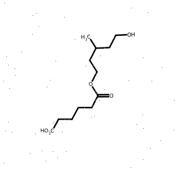 CC(CCO)CCOC(=O)CCCCC(=O)O